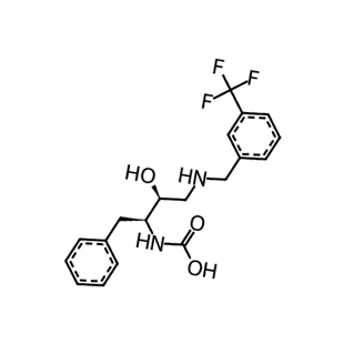 O=C(O)N[C@@H](Cc1ccccc1)[C@@H](O)CNCc1cccc(C(F)(F)F)c1